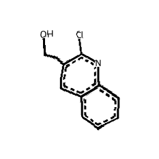 OCc1cc2ccccc2nc1Cl